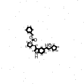 O=C(OCc1ccccc1)N1CCC[C@@H]1Cc1c[nH]c2ccc(/C=C/C3(O)CCCC3)cc12